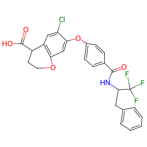 O=C(NC(Cc1ccccc1)C(F)(F)F)c1ccc(Oc2cc3c(cc2Cl)C(C(=O)O)CCO3)cc1